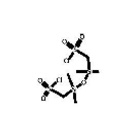 C[Si](C)(CS(=O)(=O)Cl)O[Si](C)(C)CS(=O)(=O)Cl